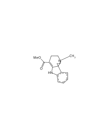 COC(=O)C1=C2Nc3ccccc3C23CCN(C)C3CC1